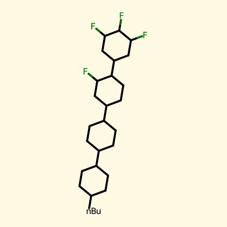 CCCCC1CCC(C2CCC(C3CCC(C4CC(F)C(F)C(F)C4)C(F)C3)CC2)CC1